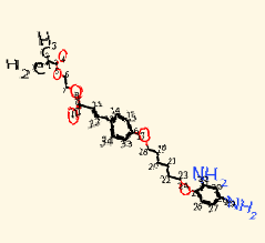 C=C(C)C(=O)OCCOC(=O)/C=C/c1ccc(OCCCCCCOc2ccc(N)cc2N)cc1